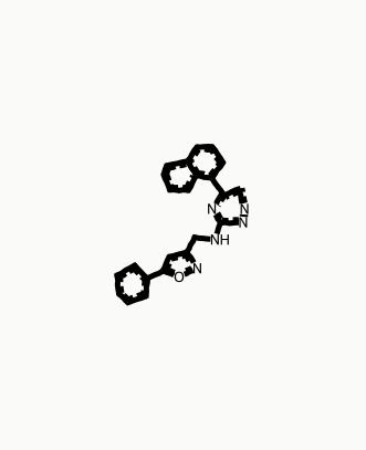 c1ccc(-c2cc(CNc3nncc(-c4cccc5ccccc45)n3)no2)cc1